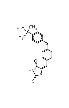 CC(C)(C)c1ccc(Sc2ccc(C=C3SC(=S)NC3=O)cc2)cc1